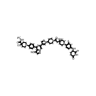 CCC1(C(=O)NC(C)C)CCN(c2ccc(-c3nc(-c4cnn(C5CCN(C(=O)CC6(O)CCN(c7ccc(NC8CCC(=O)NC8=O)cc7F)CC6)CC5)c4)cn4ncc(C#N)c34)cc2)CC1